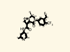 Cc1cc(NC(=O)c2cnn3c2C(=O)N(c2ccc(C(F)(F)F)c(CF)c2)C[C@@H]3C)ccn1